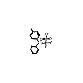 Cc1ccc([I+]c2ccccc2)cc1.O=S(=O)([O-])C(F)(F)F